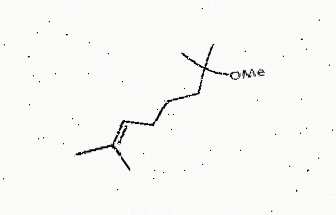 COC(C)(C)C[CH]CC=C(C)C